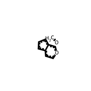 C=O.c1cc2ccocc-2c1